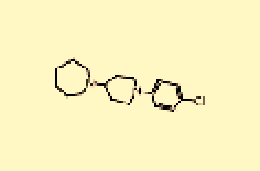 Clc1[c]cc(N2CCC(N3CCCCCC3)CC2)cc1